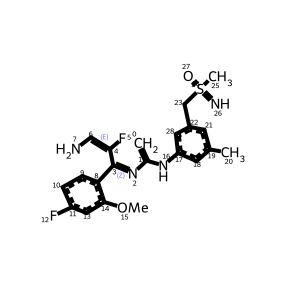 C=C(/N=C(\C(F)=C/N)c1ccc(F)cc1OC)Nc1cc(C)cc(CS(C)(=N)=O)c1